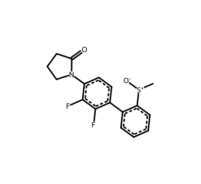 C[S+]([O-])c1ccccc1-c1ccc(N2CCCC2=O)c(F)c1F